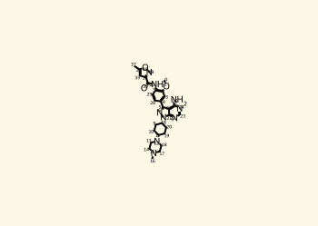 COc1cc(-c2nn([C@H]3CC[C@@H](N4CCN(C)CC4)CC3)c3ncnc(N)c23)ccc1NC(=O)c1cc(C)on1